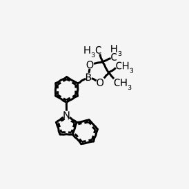 CC1(C)OB(c2cccc(-n3ccc4ccccc43)c2)OC1(C)C